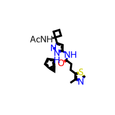 CC(=O)NC1(c2cc(NC(=O)CCc3scnc3C)[nH]n2)CCC1.c1cc2cc-2c1